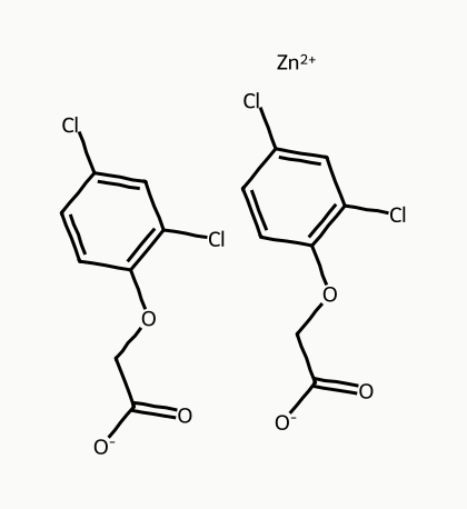 O=C([O-])COc1ccc(Cl)cc1Cl.O=C([O-])COc1ccc(Cl)cc1Cl.[Zn+2]